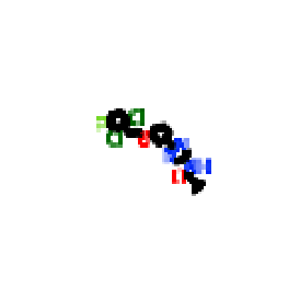 O=C(Nc1cnc(-c2cccc(OCCc3c(Cl)ccc(F)c3Cl)c2)nc1)C1CC1